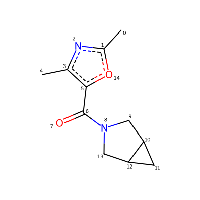 Cc1nc(C)c(C(=O)N2CC3CC3C2)o1